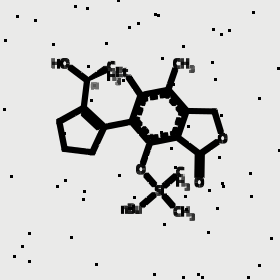 CCCC[Si](C)(C)Oc1c2c(c(C)c(CC)c1C1=C([C@H](C)O)CCC1)COC2=O